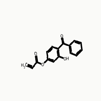 C=CC(=O)Oc1ccc(C(=O)c2ccccc2)c(O)c1